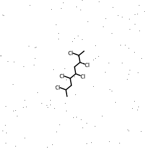 CC(Cl)CC(Cl)C(Cl)CC(Cl)C(C)Cl